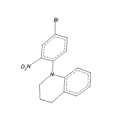 O=[N+]([O-])c1cc(Br)ccc1N1CCCc2ccccc21